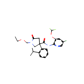 CCOCN1CC(C(=O)Nc2ncc(Cl)cc2OC(F)F)(c2ccccc2C(C)C)CC1=O